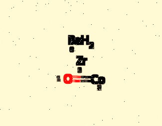 [BaH2].[O]=[Co].[Zr]